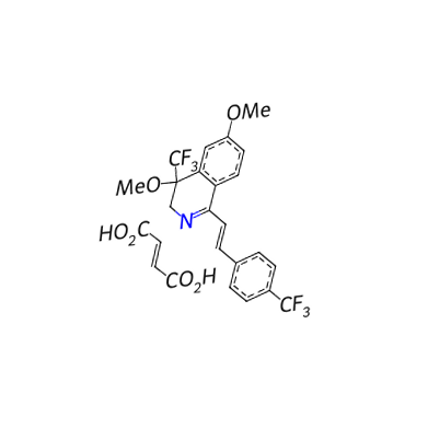 COc1ccc2c(c1)C(OC)(C(F)(F)F)CN=C2C=Cc1ccc(C(F)(F)F)cc1.O=C(O)C=CC(=O)O